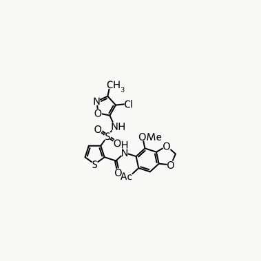 COc1c(NC(=O)c2sccc2S(=O)(=O)Nc2onc(C)c2Cl)c(C(C)=O)cc2c1OCO2